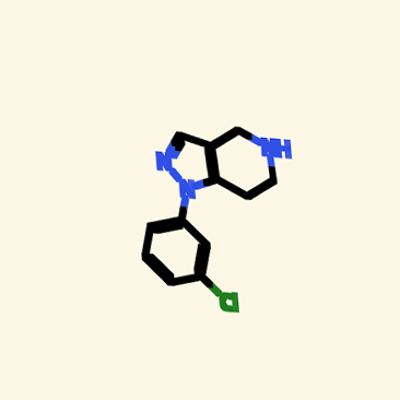 Clc1cccc(-n2ncc3c2CCNC3)c1